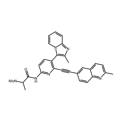 CNC(C)C(=O)Nc1ccc(-c2c(C)nc3ccccn23)c(C#Cc2ccc3nc(C)ccc3c2)n1